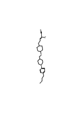 CCCCc1ccc(C2CCC(CCC3CCC(CCC=C(F)C#N)CC3)CC2)cc1